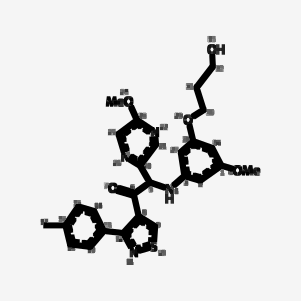 COc1cc(NC(C(=O)c2csnc2-c2ccc(C)cc2)c2cnc(OC)cn2)cc(OCCCO)c1